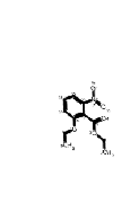 CCOC(=O)c1c(OCC)cccc1[N+](=O)[O-]